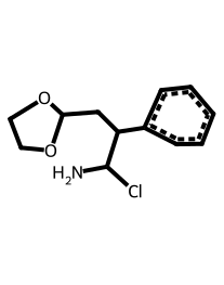 NC(Cl)C(CC1OCCO1)c1ccccc1